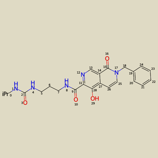 CC(C)NC(=O)NCCCNC(=O)c1ncc2c(=O)n(Cc3ccccc3)ccc2c1O